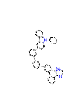 c1ccc(-n2c3ccccc3c3cc(-c4cccc(-c5cccc(-c6ccc7c(c6)c6ccccc6c6nccnc76)c5)c4)ccc32)cc1